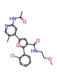 COCCNC(=O)c1cc(-c2cc(NC(C)=O)ncc2C)oc1-c1ccccc1Cl